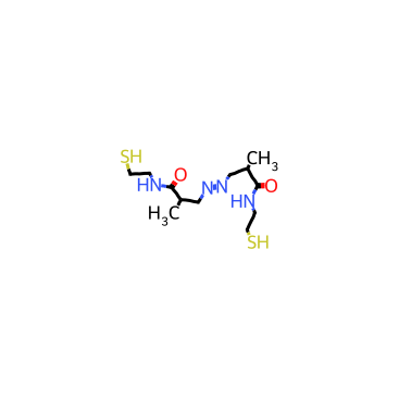 CC(CN=NCC(C)C(=O)NCCS)C(=O)NCCS